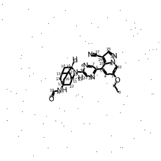 CCOc1cc(-c2cnc(N3[C@@H]4CC5C[C@H]3CC(NC=O)(C5)C4)cn2)c2c(C#N)cnn2c1